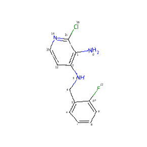 Nc1c(NCc2ccccc2F)ccnc1Cl